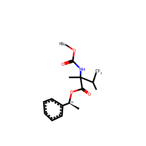 CC(C(F)(F)F)C(C)(NC(=O)OC(C)(C)C)C(=O)O[C@@H](C)c1ccccc1